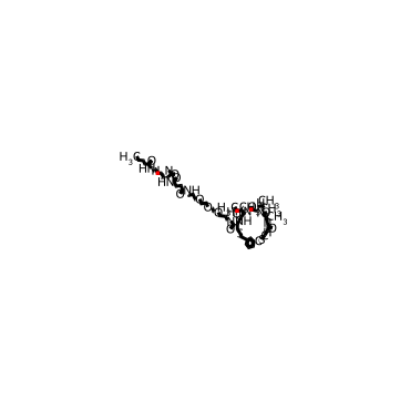 CCCCC(=O)NCCCC[C@H](NC(=O)CCC(=O)NCCCOCCOCCOCCCNC(=O)[C@@H]1CSCc2cccc(c2)CSCCC(=O)N[C@@H](C)C(=O)N[C@@H](CC(C)C)C(=O)N[C@@H]([C@@H](C)CC)C(=O)N1)C(N)=O